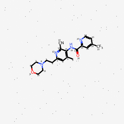 Cc1cc(CCN2CCOCC2)nc(C#N)c1NC(=O)c1cc(C(F)(F)F)ccn1